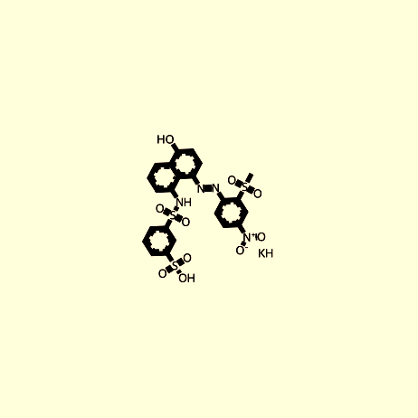 CS(=O)(=O)c1cc([N+](=O)[O-])ccc1N=Nc1ccc(O)c2cccc(NS(=O)(=O)c3cccc(S(=O)(=O)O)c3)c12.[KH]